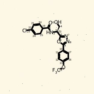 O=C(N[C@@H](CO)c1nnc(-c2ccc(OC(F)(F)F)cc2)o1)C1C=CC(Cl)=CC1